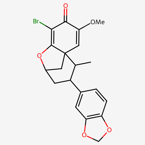 COC1=CC23CC(CC(c4ccc5c(c4)OCO5)C2C)OC3=C(Br)C1=O